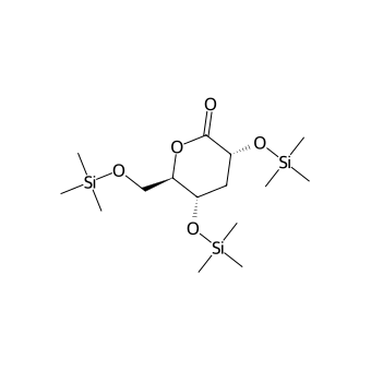 C[Si](C)(C)OC[C@H]1OC(=O)[C@H](O[Si](C)(C)C)C[C@@H]1O[Si](C)(C)C